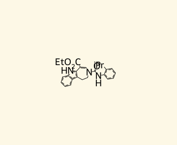 CCOC(=O)C1=CN(C(=O)Nc2ccccc2C(C)C)CCc2c1[nH]c1ccccc21